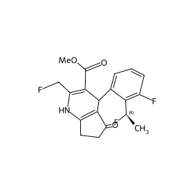 COC(=O)C1=C(CF)NC2=C(C(=O)CC2)C1c1cccc(F)c1[C@@H](C)F